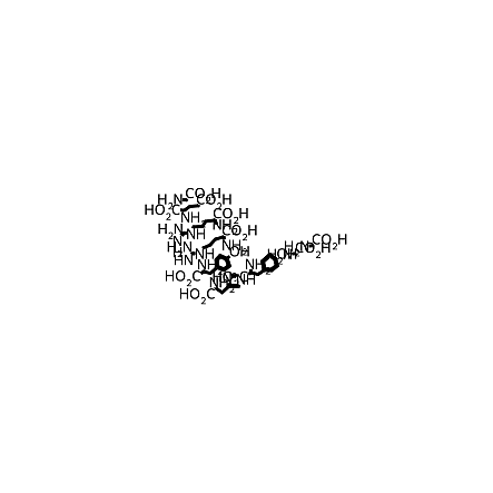 N=C(N)NCCCC(N)C(=O)O.N=C(N)NCCCC(N)C(=O)O.NC(CCC(=O)O)C(=O)O.NC(Cc1c[nH]cn1)C(=O)O.NC(Cc1ccc(O)cc1)C(=O)O.NC(Cc1ccc(O)cc1)C(=O)O.NCC(=O)O.NCC(=O)O.NCC(=O)O